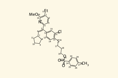 CCc1ccc(C(=CC2CCCC2)c2ccc(SCCCOS(=O)(=O)c3ccc(C)cc3)c(Cl)c2)nc1OC